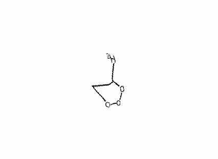 [2H]C1COOO1